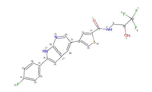 O=C(NCC(O)C(F)(F)F)c1cc(-c2cnc3[nH]c(-c4ccc(F)cc4)cc3c2)cs1